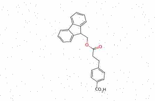 O=C(CCc1ccc(C(=O)O)cc1)OCC1c2ccccc2-c2ccccc21